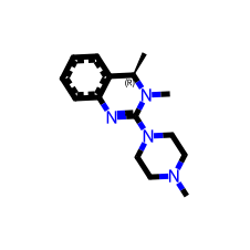 C[C@@H]1c2ccccc2N=C(N2CCN(C)CC2)N1C